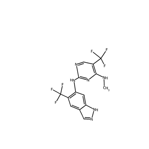 CNc1nc(Nc2cc3[nH]ncc3cc2C(F)(F)F)ncc1C(F)(F)F